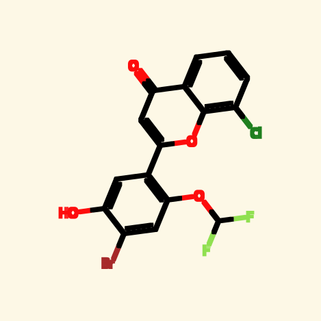 O=c1cc(-c2cc(O)c(Br)cc2OC(F)F)oc2c(Cl)cccc12